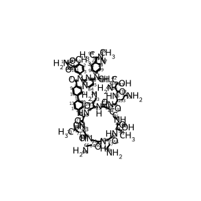 Cc1ccc(N(C(=O)c2ccc(-c3ccc(C[C@H]4NC(=O)C(CCN)NC(=O)[C@@H](NC(=O)[C@H](CCN)NC(=O)[C@@H](N)[C@@H](C)O)CCNC(=O)[C@@H]([C@@H](C)O)NC(=O)[C@H](CCN)NC(=O)[C@H](CCN)NC(=O)[C@H](CC(C)C)NC4=O)cc3)cc2)c2nccc(N(C)c3ccc4c(C)n(C)nc4c3)n2)cc1S(N)(=O)=O